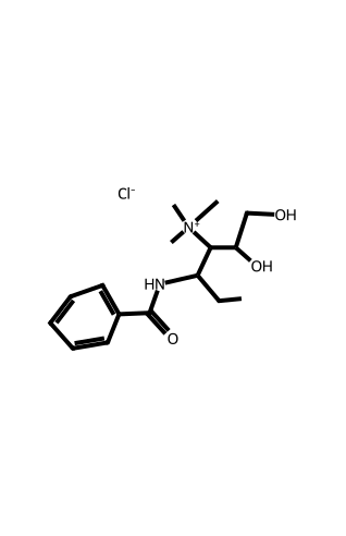 CCC(NC(=O)c1ccccc1)C(C(O)CO)[N+](C)(C)C.[Cl-]